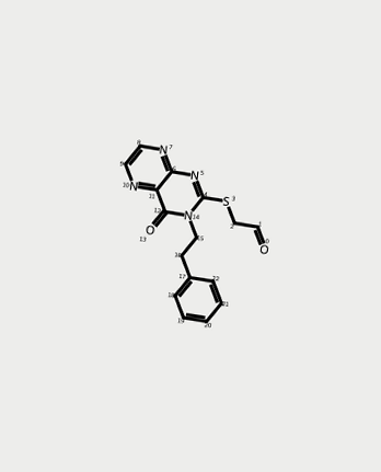 O=CCSc1nc2nccnc2c(=O)n1CCc1ccccc1